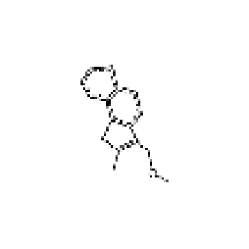 COCC1=C(C)Cc2c1ccc1ccccc21